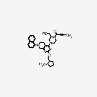 CC#CC(=O)N1CCN(c2nc(OCC3CCCN3C)nc3c2CCN(c2cccc4ccccc24)C3)CC1CC#N